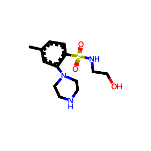 Cc1ccc(S(=O)(=O)NCCO)c(N2CCNCC2)c1